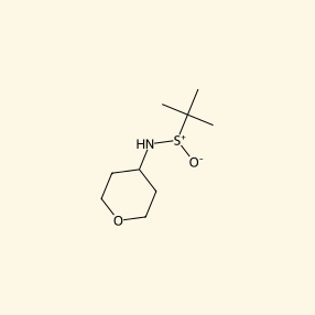 CC(C)(C)[S+]([O-])NC1CCOCC1